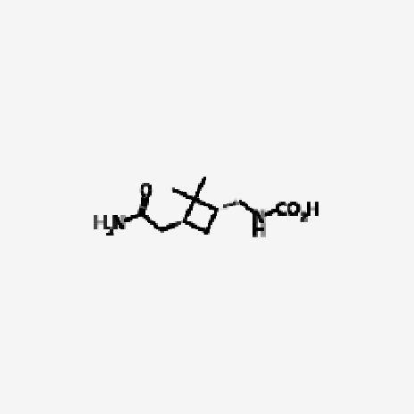 CC1(C)[C@H](CNC(=O)O)C[C@H]1CC(N)=O